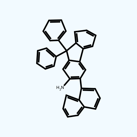 Nc1cc2c(cc1-c1cccc3ccccc13)-c1ccccc1C2(c1ccccc1)c1ccccc1